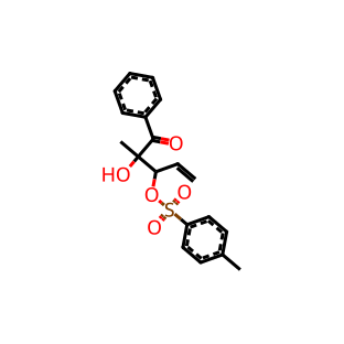 C=CC(OS(=O)(=O)c1ccc(C)cc1)C(C)(O)C(=O)c1ccccc1